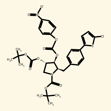 CC(C)(C)OC(=O)O[C@H]1CN(C(=O)OC(C)(C)C)[C@H](Cc2ccc(-c3ccc(Cl)s3)cc2)[C@@H]1OC(=O)Oc1ccc([N+](=O)[O-])cc1